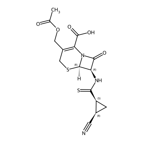 CC(=O)OCC1=C(C(=O)O)N2C(=O)[C@@H](NC(=S)[C@H]3C[C@H]3C#N)[C@H]2SC1